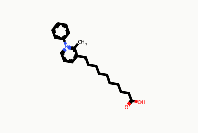 Cc1c(CCCCCCCCCC(=O)O)ccc[n+]1-c1ccccc1